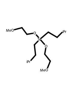 COCCO[Si](CCC(C)C)(CCC(C)C)OCCOC